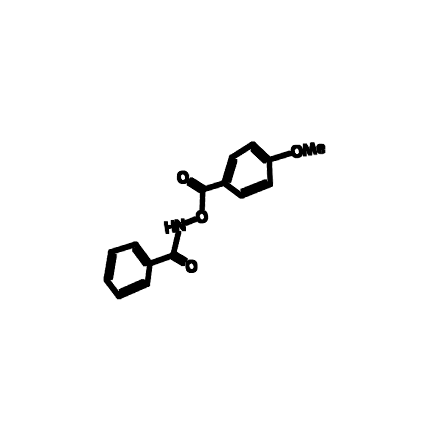 COc1ccc(C(=O)ONC(=O)c2ccccc2)cc1